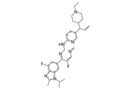 C=CC(c1ccc(NC/N=C(\C(F)=C/N=C)c2cc(F)c3nc(C)n(C(C)C)c3c2)nc1)C1CCN(CC)CC1